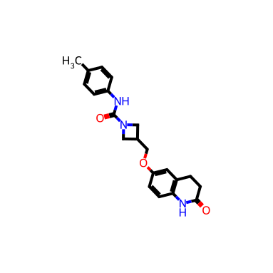 Cc1ccc(NC(=O)N2CC(COc3ccc4c(c3)CCC(=O)N4)C2)cc1